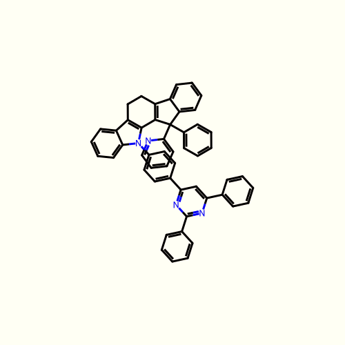 c1ccc(-c2cc(-c3ccc(-n4c5c(c6ccccc64)CCC4=C5C(c5ccccc5)(c5ccccn5)c5ccccc54)cc3)nc(-c3ccccc3)n2)cc1